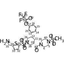 CS(=O)(=O)N1CCN(C(=O)[C@H]2C[C@@H](c3cccc(OC(=O)C(F)(F)F)c3)CN(S(=O)(=O)c3ccc(CN)s3)C2)CC1